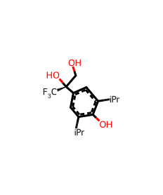 CC(C)c1cc([C@](O)(CO)C(F)(F)F)cc(C(C)C)c1O